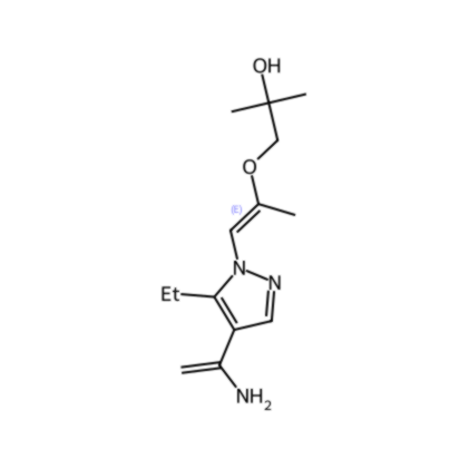 C=C(N)c1cnn(/C=C(\C)OCC(C)(C)O)c1CC